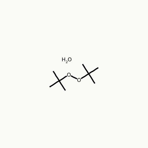 CC(C)(C)OOC(C)(C)C.O